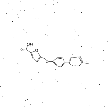 Cc1ccc(-c2ccc(OCc3ccc(C(=O)O)o3)cc2)cc1